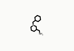 NCC1CCCN(CC2CCCCC2)C1